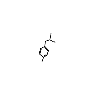 Cc1ccc(CC(F)Br)cc1